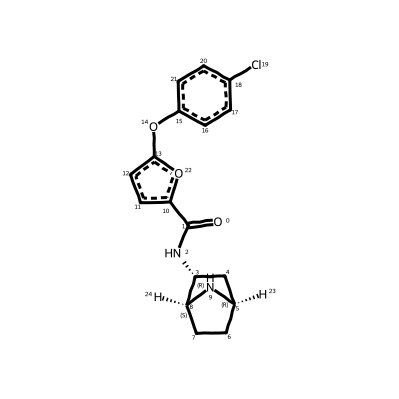 O=C(N[C@@H]1C[C@H]2CC[C@@H]1N2)c1ccc(Oc2ccc(Cl)cc2)o1